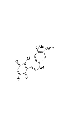 COc1cc2[nH]cc(C3=C(Cl)C(=O)C=C(Cl)C3=O)c2cc1OC